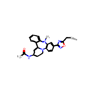 COCc1nc(-c2ccc3c(c2)N(C)c2ccccc2C2CC(NC(=O)C(F)(F)F)CCN32)no1